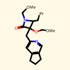 COCOC1(Cc2cc3c(cn2)CCC3)C(=O)N(COC)C1CC(C)C